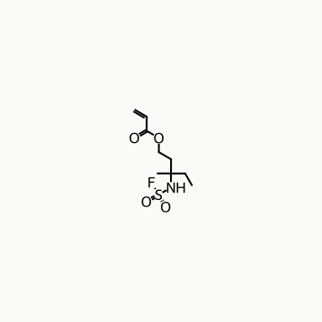 C=CC(=O)OCCC(C)(CC)NS(=O)(=O)F